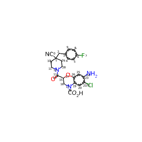 N#CC1(Cc2ccc(F)cc2)CCN(C(=O)C2CN(C(=O)O)c3cc(Cl)c(N)cc3O2)CC1